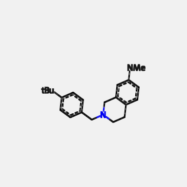 CNc1ccc2c(c1)CN(Cc1ccc(C(C)(C)C)cc1)CC2